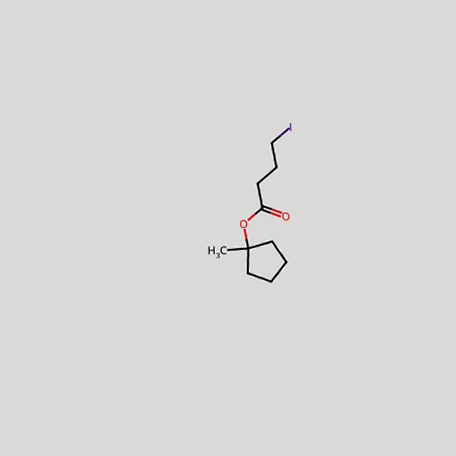 CC1(OC(=O)CCCI)CCCC1